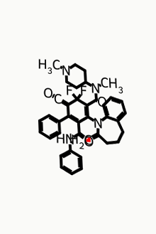 C=C1CCCc2ccccc2N1C1=C(C(=O)N(C)C2CCN(C)CC2)C(F)(F)C(=C=O)C(c2ccccc2)=C1C(=O)Nc1ccccc1